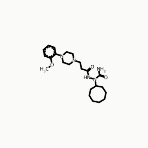 COc1ccccc1N1CCN(CCC(=O)NN(C(N)=O)C2CCCCCCC2)CC1